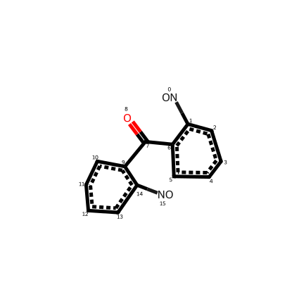 O=Nc1ccccc1C(=O)c1ccccc1N=O